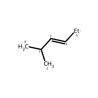 [CH2]C(C)/C=C/[CH]C